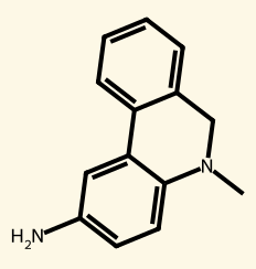 CN1Cc2ccccc2-c2cc(N)ccc21